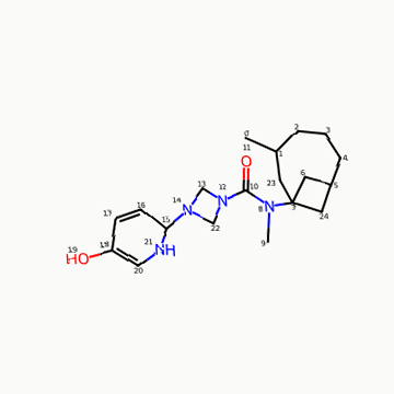 CC1CCCC2CC(N(C)C(=O)N3CN(C4C=CC(O)=CN4)C3)(C1)C2